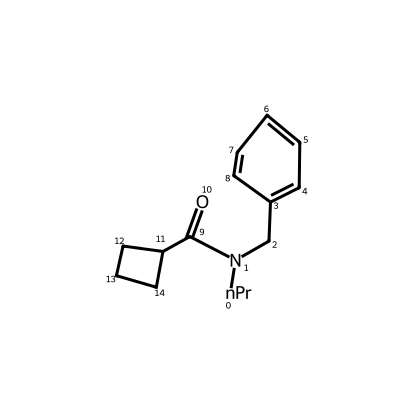 CCCN(Cc1ccccc1)C(=O)C1CCC1